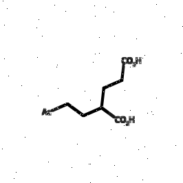 CC(=O)CCC(CCC(=O)O)C(=O)O